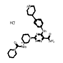 Cl.NC(=O)c1nnc(N2CCC[C@@H](NC(=O)N3CCCCC3)C2)nc1Nc1ccc(C2CCNCC2)cc1